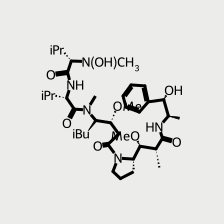 CC[C@H](C)C([C@@H](CC(=O)N1CCC[C@H]1[C@H](OC)[C@@H](C)C(=O)N[C@H](C)[C@@H](O)c1ccccc1)OC)N(C)C(=O)[C@@H](NC(=O)[C@H](C(C)C)N(C)O)C(C)C